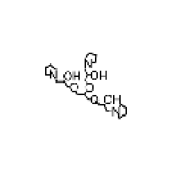 OC(COCC(COCC(O)CN1CCCC1)OCC(O)CN1CCCC1)CN1CCCC1